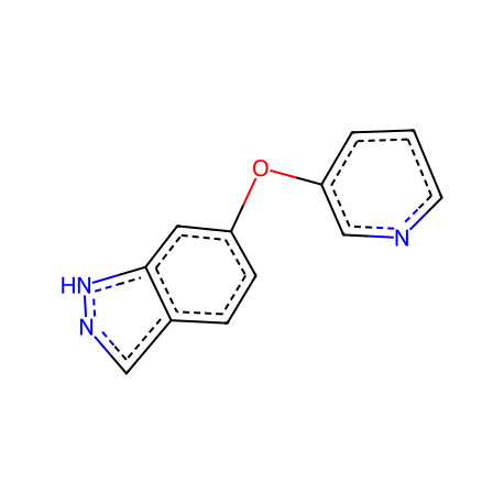 c1cncc(Oc2ccc3cn[nH]c3c2)c1